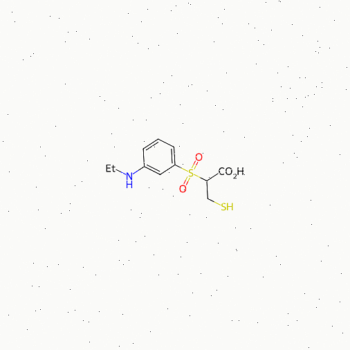 CCNc1cccc(S(=O)(=O)C(CS)C(=O)O)c1